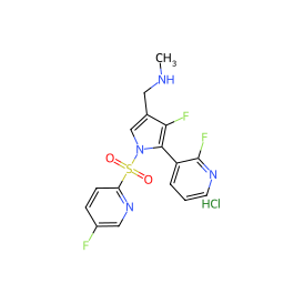 CNCc1cn(S(=O)(=O)c2ccc(F)cn2)c(-c2cccnc2F)c1F.Cl